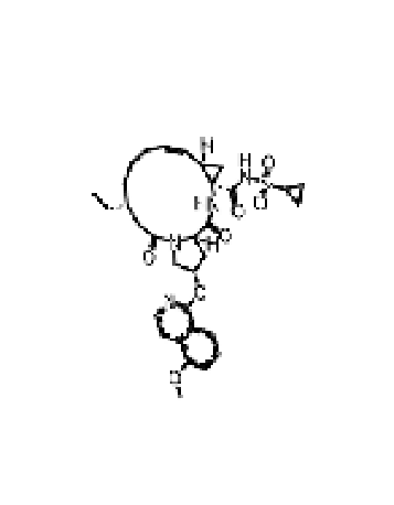 CC[C@@H]1CCC/C=C\[C@@H]2C[C@@]2(C(=O)NS(=O)(=O)C2CC2)NC(=O)[C@@H]2C[C@@H](Oc3nccc4c(OC)cccc34)CN2C(=O)C1